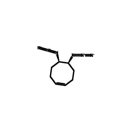 [N-]=[N+]=N[C@H]1CC/C=C\CC[C@H]1N=[N+]=[N-]